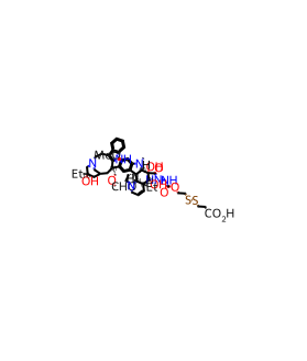 CC[C@]1(O)CC2CN(CCc3c([nH]c4ccccc34)[C@@](COC=O)(c3cc4c(cc3OC)N(C)[C@H]3C(O)(C(=O)NNC(=O)OCCSSCCC(=O)O)[C@H](O)[C@]5(CC)C=CCN6CC[C@]43[C@@H]65)C2)C1